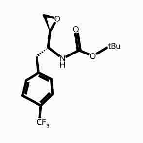 CC(C)(C)OC(=O)N[C@H](Cc1ccc(C(F)(F)F)cc1)[C@H]1CO1